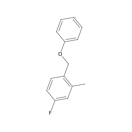 Cc1cc(F)ccc1COc1cc[c]cc1